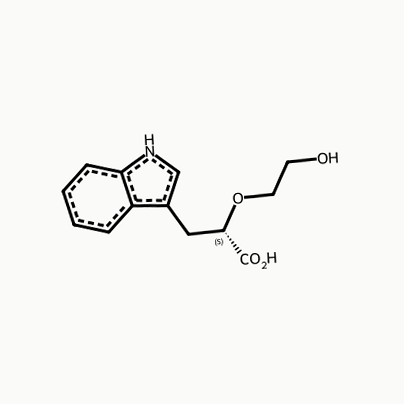 O=C(O)[C@H](Cc1c[nH]c2ccccc12)OCCO